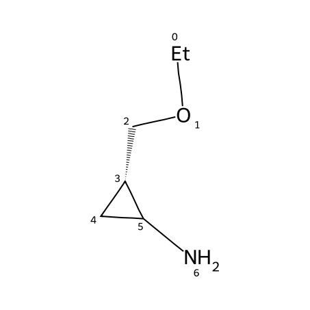 CCOC[C@H]1CC1N